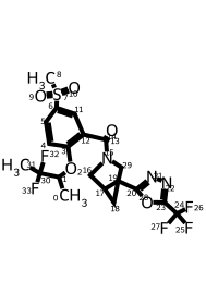 CC(Oc1ccc(S(C)(=O)=O)cc1C(=O)N1CC2CC2(c2nnc(C(F)(F)F)o2)C1)C(C)(F)F